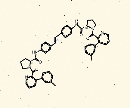 Cc1cccc(-c2cccnc2C(=O)N2CCC[C@H]2C(=O)Nc2ccc(/C=C/c3ccc(NC(=O)[C@@H]4CCCN4C(=O)c4ncccc4-c4cccc(C)c4)cc3)cc2)c1